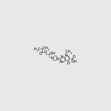 C=C(C)C(=O)OCC(O)CN1CCN(c2ncc3c(=O)c(C(=O)O)cn(CC)c3n2)CC1